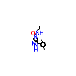 CCCNC(=O)N1Cc2n[nH]c(-c3cc(C)ccc3C)c2C1